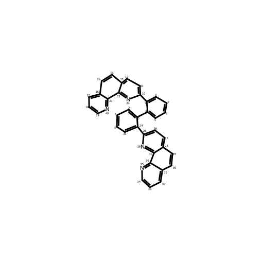 c1ccc(-c2ccccc2-c2ccc3ccc4cccnc4c3n2)c(-c2ccc3ccc4cccnc4c3n2)c1